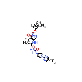 C[C@@H](CONC(=O)NC1CCN(c2ncc(C(F)(F)F)cn2)CC1)Nc1cnn(COCC[Si](C)(C)C)c(=O)c1C(F)(F)F